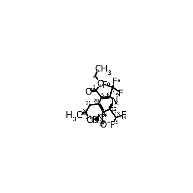 CCOC(=O)c1c(C(F)(F)F)nc(C(F)F)c([N+](=O)[O-])c1CC(C)C